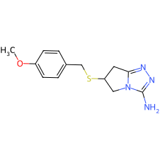 COc1ccc(CSC2Cc3nnc(N)n3C2)cc1